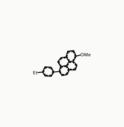 CCc1ccc(-c2ccc3ccc4c(OC)ccc5ccc2c3c54)cc1